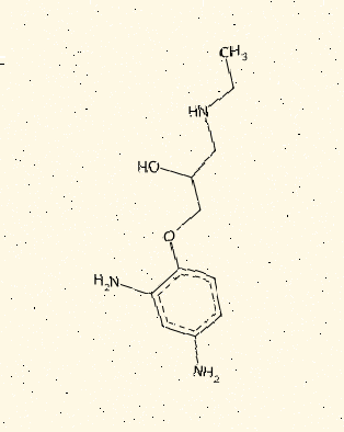 CCNCC(O)COc1ccc(N)cc1N